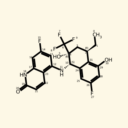 CC[C@@H]1C[C@](O)(C(F)(F)F)[C@@H](Nc2cc(F)cc3[nH]c(=O)ccc23)c2cc(F)cc(O)c21